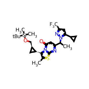 Cc1sc2nc(C(C)n3nc(C(F)(F)F)cc3C3CC3)cc(=O)n2c1[C@@H]1C[C@H]1CO[Si](C)(C)C(C)(C)C